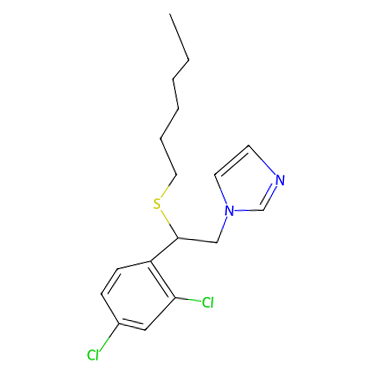 CCCCCCSC(Cn1ccnc1)c1ccc(Cl)cc1Cl